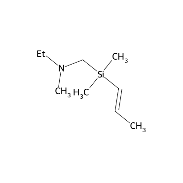 CC=C[Si](C)(C)CN(C)CC